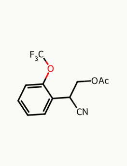 CC(=O)OCC(C#N)c1ccccc1OC(F)(F)F